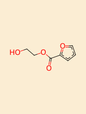 O=C(OCCO)c1ccco1